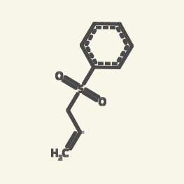 C=[C]CS(=O)(=O)c1ccccc1